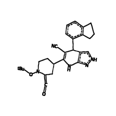 CC(C)(C)ON1CCC(C2=C(C#N)C(c3cccc4c3CCC4)c3c[nH]nc3N2)CC1=C=O